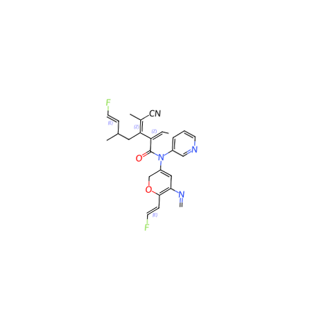 C=NC1=C(/C=C/F)OCC(N(C(=O)C(=C\C)/C(CC(C)/C=C/F)=C(/C)C#N)c2cccnc2)=C1